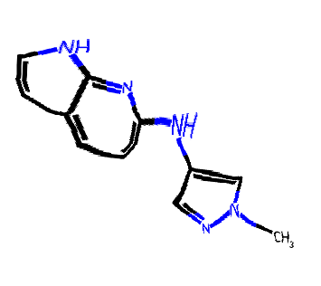 Cn1cc(Nc2ccc3cc[nH]c3n2)cn1